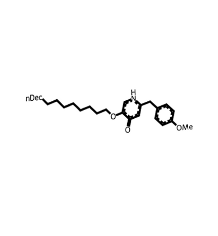 CCCCCCCCCCCCCCCCCCOc1c[nH]c(Cc2ccc(OC)cc2)cc1=O